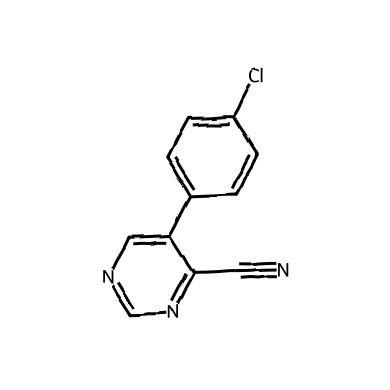 N#Cc1ncncc1-c1ccc(Cl)cc1